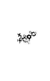 CC(C)(C)CN(CC(F)(F)F)[C@H](CN)C(=O)Nc1ccc(N2CCOCC2=O)cc1F